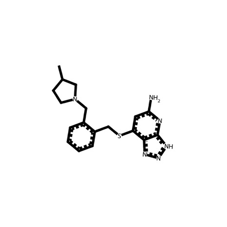 CC1CCN(Cc2ccccc2CSc2cc(N)nc3[nH]nnc23)C1